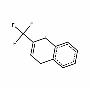 FC(F)(F)C1=CCc2ccccc2[CH]1